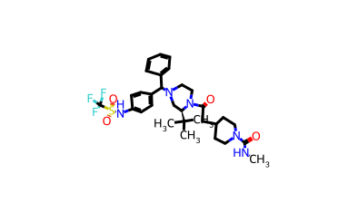 CNC(=O)N1CCC(CC(=O)N2CCN(C(c3ccccc3)c3ccc(NS(=O)(=O)C(F)(F)F)cc3)C[C@@H]2C(C)(C)C)CC1